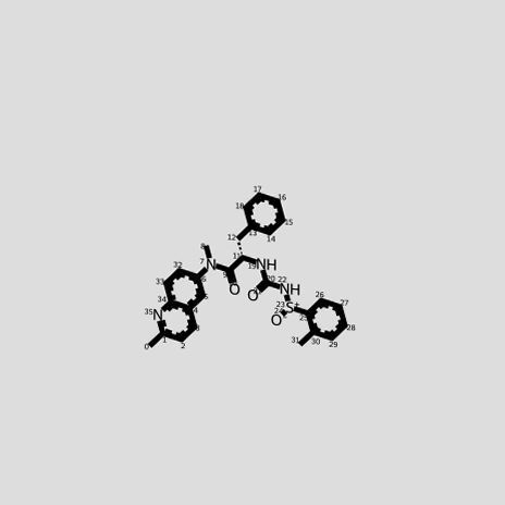 Cc1ccc2cc(N(C)C(=O)[C@H](Cc3ccccc3)NC(=O)N[S+]([O-])c3ccccc3C)ccc2n1